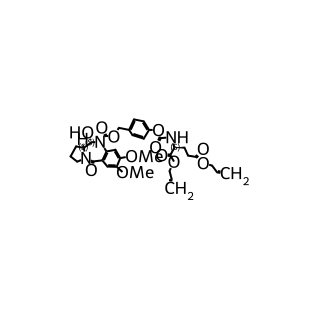 C=CCOC(=O)CC[C@H](NC(=O)Oc1ccc(COC(=O)N2c3cc(OC)c(OC)cc3C(=O)N3CCC[C@H]3[C@@H]2O)cc1)C(=O)OCC=C